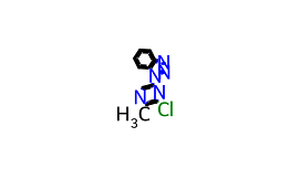 Cc1ncc(-n2nnc3ccccc32)nc1Cl